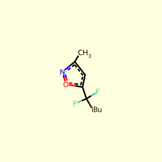 CCC(C)C(F)(F)c1cc(C)no1